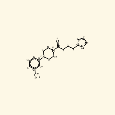 O=C(CCCc1cccs1)N1CCN(c2cccc(C(F)(F)F)c2)CC1